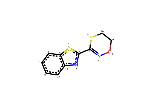 c1ccc2sc(C3=NOCCS3)nc2c1